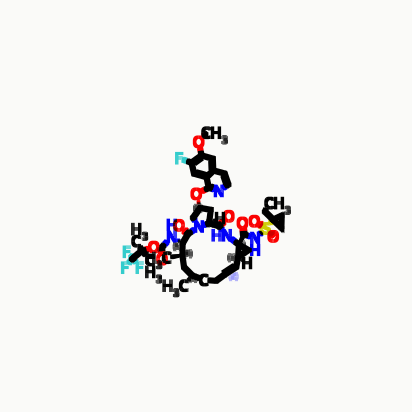 CCC1(S(=O)(=O)NC(=O)[C@@]23C[C@H]2/C=C\CC[C@H](C)C[C@@H](C)[C@H](NC(=O)OC(C)(C)C(F)(F)F)C(=O)N2C[C@H](Oc4nccc5cc(OC)c(F)cc45)C[C@H]2C(=O)N3)CC1